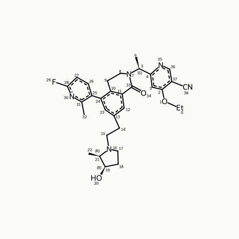 CCOc1cc([C@H](C)N2CCc3c(cc(CCN4CC[C@@H](O)[C@H]4C)cc3-c3ccc(F)nc3C)C2=O)ncc1C#N